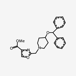 COC(=O)c1coc(CN2CCC(OC(c3ccccc3)c3ccccc3)CC2)n1